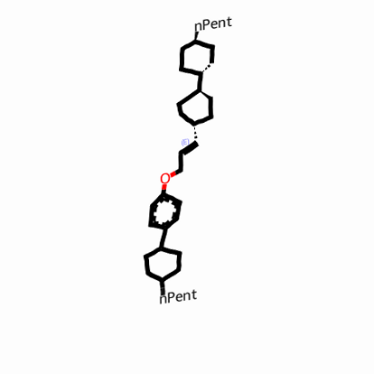 CCCCCC1CCC(c2ccc(OC/C=C/[C@H]3CC[C@H]([C@H]4CC[C@H](CCCCC)CC4)CC3)cc2)CC1